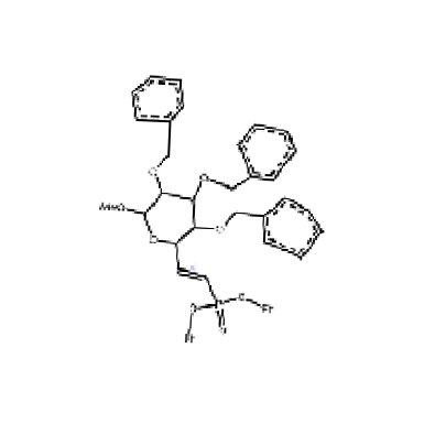 CCOP(=O)(/C=C/C1OC(OC)C(OCc2ccccc2)C(OCc2ccccc2)C1OCc1ccccc1)OCC